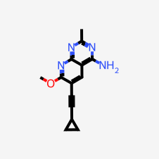 COc1nc2nc(C)nc(N)c2cc1C#CC1CC1